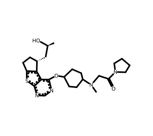 C[C@H](O)C[C@H]1CCc2sc3ncnc(OC4CCC(N(C)CC(=O)N5CCCC5)CC4)c3c21